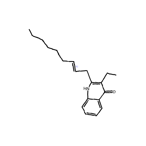 CCCCCC/C=C/Cc1[nH]c2ccccc2c(=O)c1CC